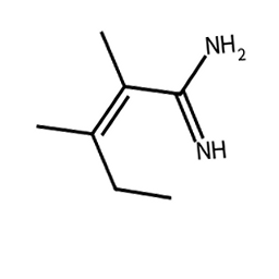 CCC(C)=C(C)C(=N)N